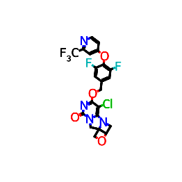 O=c1nc(OCc2cc(F)c(Oc3ccnc(C(F)(F)F)c3)c(F)c2)c(Cl)c2n1CC13COC1CN23